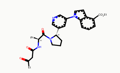 CCOC(=O)c1cccc2c1ccn2-c1cncc([C@@H]2CCCN2C(=O)[C@@H](NC(=O)CC(=O)CC)C(C)C)c1